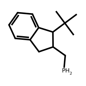 CC(C)(C)C1c2ccccc2CC1CP